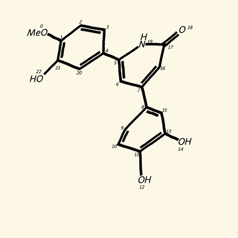 COc1ccc(-c2cc(-c3ccc(O)c(O)c3)cc(=O)[nH]2)cc1O